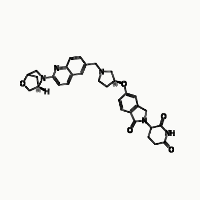 O=C1CCC(N2Cc3cc(O[C@H]4CCN(Cc5ccc6nc(N7CC8C[C@H]7CO8)ccc6c5)C4)ccc3C2=O)C(=O)N1